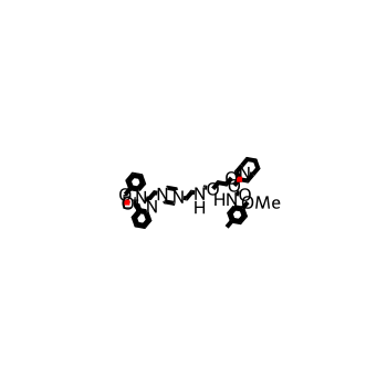 CCOc1ccccc1-n1c(CN2CCN(CCNCOCCOCN3C4CCCC3CC(OC(=O)Nc3cc(C)ccc3OC)C4)CC2)nc2ccccc2c1=O